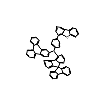 c1ccc2c(c1)-c1ccccc1C21c2ccccc2-c2c(N(c3ccc(-c4cccc5c4oc4ccccc45)cc3)c3ccc4c5ccccc5c5ccccc5c4c3)cccc21